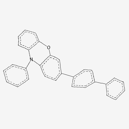 c1ccc(-c2ccc(-c3ccc4c(c3)Oc3ccccc3N4c3ccccc3)cc2)cc1